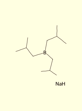 CC(C)CB(CC(C)C)CC(C)C.[NaH]